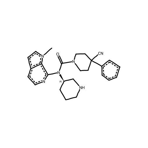 Cn1ccc2ccnc(N(C(=O)N3CCC(C#N)(c4ccccc4)CC3)[C@@H]3CCCNC3)c21